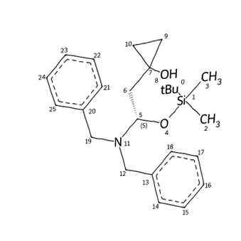 CC(C)(C)[Si](C)(C)O[C@@H](CC1(O)CC1)N(Cc1ccccc1)Cc1ccccc1